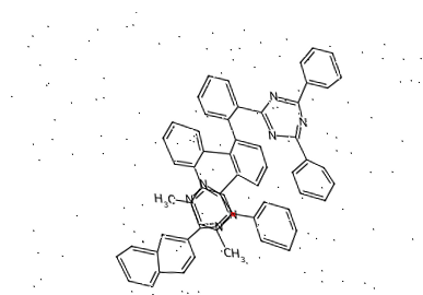 Cc1cc(C)nc(-c2cccc(-c3ccccc3-c3nc(-c4ccccc4)nc(-c4ccccc4)n3)c2-c2ccccc2-c2cc(-c3ccccc3)nc(-c3ccc4ccccc4c3)n2)n1